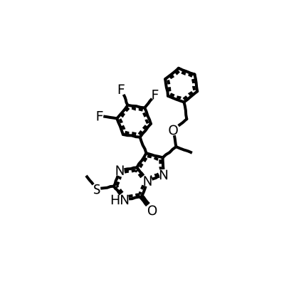 CSc1nc2c(-c3cc(F)c(F)c(F)c3)c(C(C)OCc3ccccc3)nn2c(=O)[nH]1